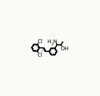 CC(O)C(N)c1cccc(/C=C/c2c(Cl)cccc2Cl)c1